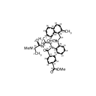 CN[C@@H](C)C(=O)NC(C)CN(C(=O)c1ccc(C(=O)OC)cc1)c1ccccc1N(C=O)Cc1c(C)ccc2ccccc12